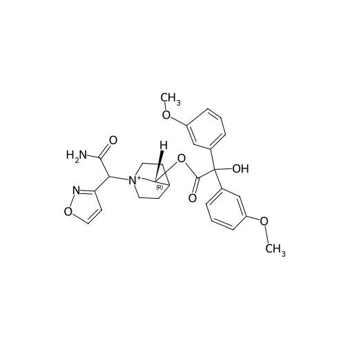 COc1cccc(C(O)(C(=O)O[C@H]2C[N+]3(C(C(N)=O)c4ccon4)CCC2CC3)c2cccc(OC)c2)c1